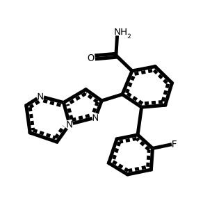 NC(=O)c1cccc(-c2ccccc2F)c1-c1cc2ncccn2n1